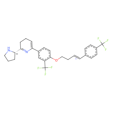 FC(F)(F)c1ccc(/C=C/CCOc2ccc(C3=CCCC([C@@H]4CCCN4)=N3)cc2C(F)(F)F)cc1